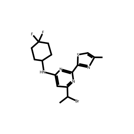 Cc1csc(-c2nc(NC3CCC(F)(F)CC3)cc(C(C)Br)n2)n1